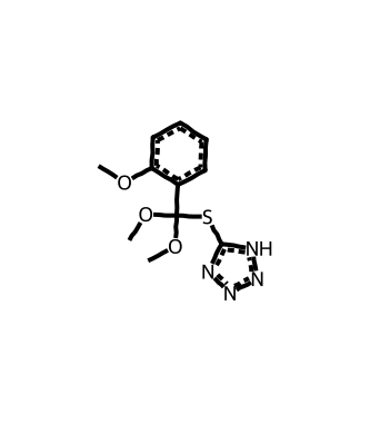 COc1ccccc1C(OC)(OC)Sc1nnn[nH]1